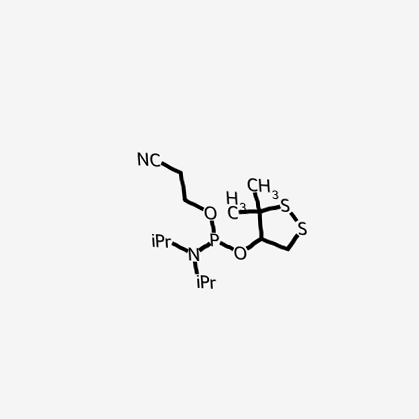 CC(C)N(C(C)C)P(OCCC#N)OC1CSSC1(C)C